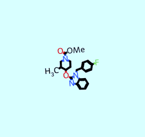 COC(=O)N1CCC(Oc2nc3ccccc3n2Cc2ccc(F)cc2)C(C)C1